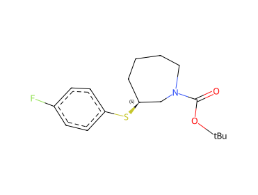 CC(C)(C)OC(=O)N1CCCC[C@H](Sc2ccc(F)cc2)C1